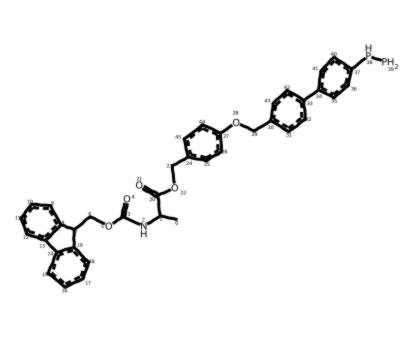 CC(NC(=O)OCC1c2ccccc2-c2ccccc21)C(=O)OCc1ccc(OCc2ccc(-c3ccc(PP)cc3)cc2)cc1